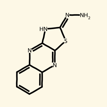 NN=c1[nH]c2nc3ccccc3nc2s1